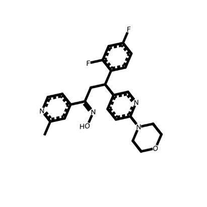 Cc1cc(C(CC(c2ccc(N3CCOCC3)nc2)c2ccc(F)cc2F)=NO)ccn1